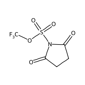 O=C1CCC(=O)N1S(=O)(=O)OC(F)(F)F